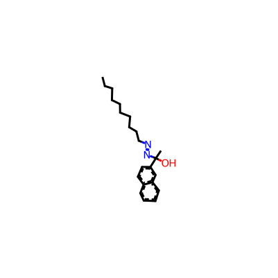 CCCCCCCCCC/N=N/C(C)(O)c1ccc2ccccc2c1